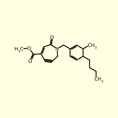 CCCCC1C=CC(CN2CC#CC(C(=O)OC)=CC2=O)=CC1C